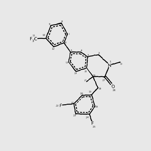 CN1Cc2cc(-c3cccc(C(F)(F)F)c3)ccc2C(C)(Cc2cc(F)cc(F)c2)C1=O